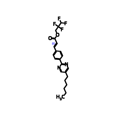 CCCCCCc1cnc(-c2ccc(/C=C/C(=O)OCC(F)(F)C(F)F)cc2)nc1